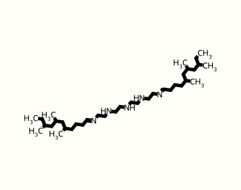 CCC(C)CC(C)CC(C)CCC/C=N/CCNCCNCCNCC/N=C/CCCC(C)CC(C)CC(C)CC